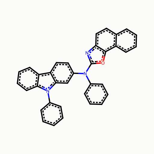 c1ccc(N(c2ccc3c4ccccc4n(-c4ccccc4)c3c2)c2nc3ccc4ccccc4c3o2)cc1